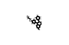 Cc1ccc2c(c1)CCC(c1ccccc1)=C2c1ccc(OCCBr)cc1